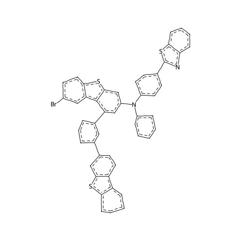 Brc1ccc2sc3cc(N(c4ccccc4)c4ccc(-c5nc6ccccc6s5)cc4)cc(-c4cccc(-c5ccc6c(c5)sc5ccccc56)c4)c3c2c1